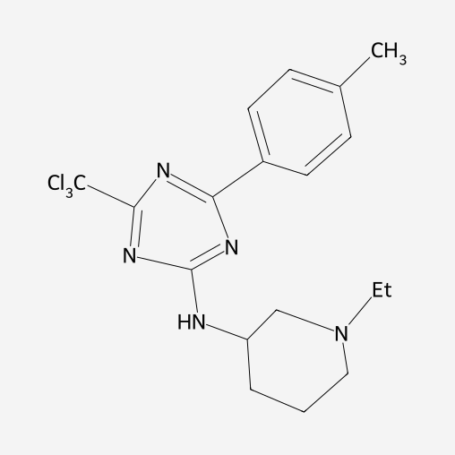 CCN1CCCC(Nc2nc(-c3ccc(C)cc3)nc(C(Cl)(Cl)Cl)n2)C1